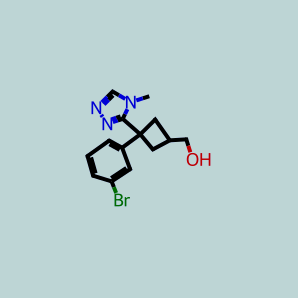 Cn1cnnc1C1(c2cccc(Br)c2)CC(CO)C1